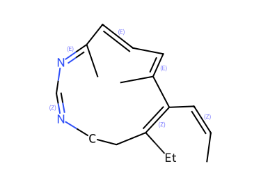 C\C=C/C1=C(\CC)CC/N=C\N=C(C)\C=C\C=C\1C